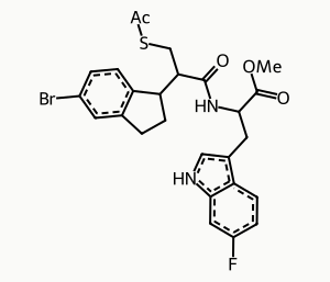 COC(=O)C(Cc1c[nH]c2cc(F)ccc12)NC(=O)C(CSC(C)=O)C1CCc2cc(Br)ccc21